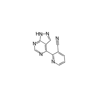 N#Cc1cccnc1-c1ncnc2[nH]ncc12